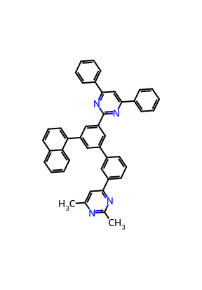 Cc1cc(-c2cccc(-c3cc(-c4nc(-c5ccccc5)cc(-c5ccccc5)n4)cc(-c4cccc5ccccc45)c3)c2)nc(C)n1